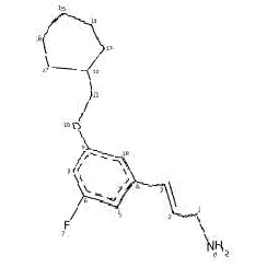 NC/C=C/c1cc(F)cc(OCC2CCCCC2)c1